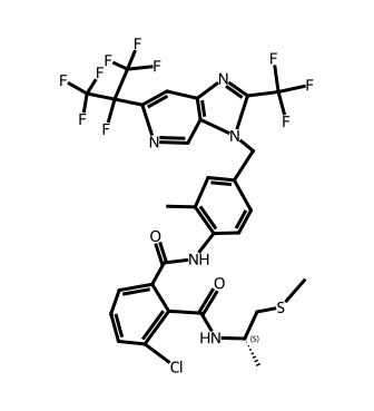 CSC[C@H](C)NC(=O)c1c(Cl)cccc1C(=O)Nc1ccc(Cn2c(C(F)(F)F)nc3cc(C(F)(C(F)(F)F)C(F)(F)F)ncc32)cc1C